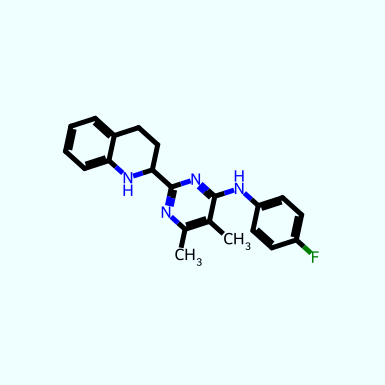 Cc1nc(C2CCc3ccccc3N2)nc(Nc2ccc(F)cc2)c1C